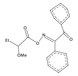 CCC(OC)C(=O)ON=C(C(=O)c1ccccc1)c1ccccc1